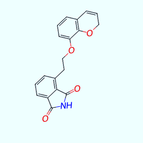 O=C1NC(=O)c2c(CCOc3cccc4c3OCC=C4)cccc21